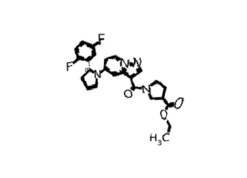 CCOC(=O)C1CCN(C(=O)c2cnn3ccc(N4CCC[C@@H]4c4cc(F)ccc4F)cc23)C1